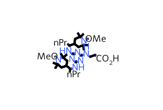 CCCC(Nc1nc(NCCC(=O)O)nc(NC(CCC)C2CC(C)(C)N(OC)C(C)(C)C2)n1)C1CC(C)(C)N(OC)C(C)(C)C1